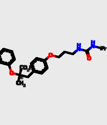 CC(C)NC(=O)NCCCOc1ccc(C[C@](C)(Oc2ccccc2)C(=O)O)cc1